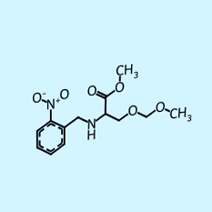 COCOCC(NCc1ccccc1[N+](=O)[O-])C(=O)OC